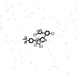 CCC(C(=O)Nc1ccc(S(C)(=O)=O)cc1)n1cnc(-c2cc(Cl)ccc2-n2cc(Cl)nn2)cc1=O